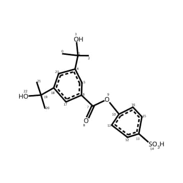 CC(C)(O)c1cc(C(=O)Oc2ccc(S(=O)(=O)O)cc2)cc(C(C)(C)O)c1